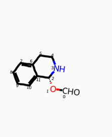 O=CO[C@H]1NCCc2ccccc21